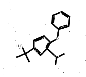 BC(C)(C)c1ccc(Oc2ccccc2)c(C(C)C)c1